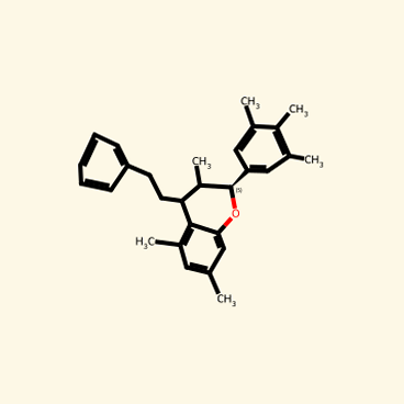 Cc1cc(C)c2c(c1)O[C@H](c1cc(C)c(C)c(C)c1)C(C)C2CCc1ccccc1